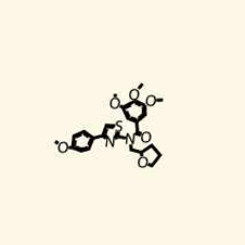 COc1ccc(-c2csc(N(CC3CCCO3)C(=O)c3cc(OC)c(OC)c(OC)c3)n2)cc1